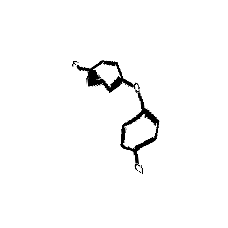 Fc1ccc(Oc2ccc(Cl)cc2)cc1